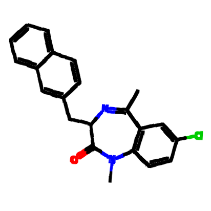 CC1=NC(Cc2ccc3ccccc3c2)C(=O)N(C)c2ccc(Cl)cc21